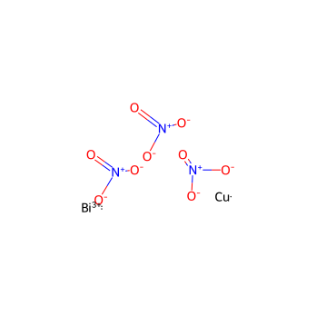 O=[N+]([O-])[O-].O=[N+]([O-])[O-].O=[N+]([O-])[O-].[Bi+3].[Cu]